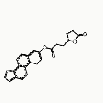 O=C(CCC1CCC(=O)O1)OC1=CCc2c(ccc3c4c(ccc23)=CC=C4)=C1